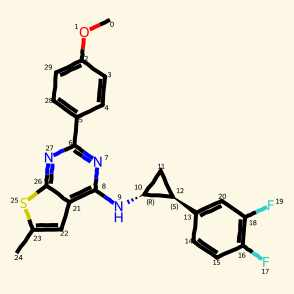 COc1ccc(-c2nc(N[C@@H]3C[C@H]3c3ccc(F)c(F)c3)c3cc(C)sc3n2)cc1